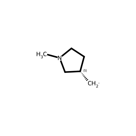 [CH2][C@H]1CCN(C)C1